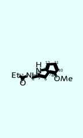 CCC(=O)NCc1cc2c(OC)cccc2[nH]1